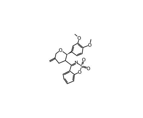 C=C1CO[C@@H](c2ccc(OC)c(OC)c2)C(C2=NS(=O)(=O)Oc3ccccc32)C1